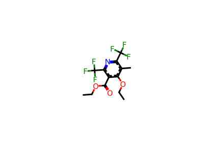 CCOC(=O)c1c(C(F)(F)F)nc(C(F)(F)F)c(C)c1OCC